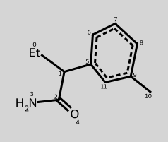 CCC(C(N)=O)c1cccc(C)c1